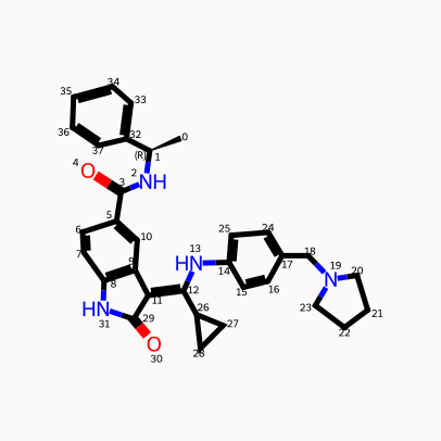 C[C@@H](NC(=O)c1ccc2c(c1)C(=C(Nc1ccc(CN3CCCC3)cc1)C1CC1)C(=O)N2)c1ccccc1